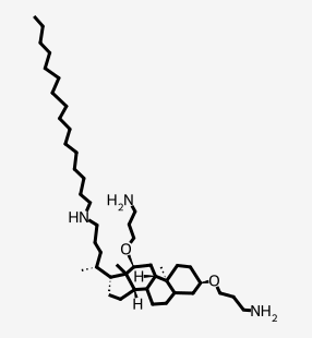 CCCCCCCCCCCCCCCCNCCC[C@@H](C)[C@H]1CC[C@H]2C3CCC4C[C@H](OCCCN)CC[C@]4(C)[C@H]3C[C@H](OCCCN)C12C